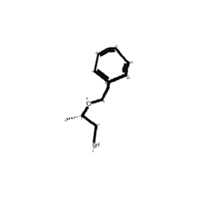 C[C@@H](CS)OCc1ccccc1